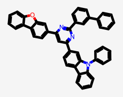 c1ccc(-c2cccc(-c3nc(-c4ccc5c(c4)oc4ccccc45)cc(-c4ccc5c6ccccc6n(-c6ccccc6)c5c4)n3)c2)cc1